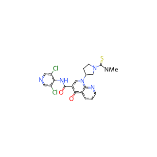 CNC(=S)N1CCC(n2cc(C(=O)Nc3c(Cl)cncc3Cl)c(=O)c3cccnc32)C1